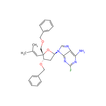 CC(C)=C[C@]1(COCc2ccccc2)O[C@@H](n2cnc3c(N)nc(F)nc32)C[C@@H]1OCc1ccccc1